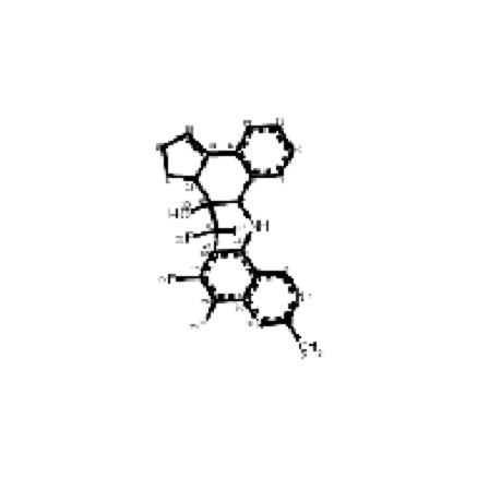 Cc1ncc2c(NC3c4ccccc4C4=CCCC4C3(O)C(F)(F)F)cc(F)c(F)c2n1